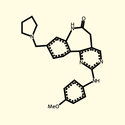 COc1ccc(Nc2ncc3c(n2)-c2ccc(CN4CCCC4)cc2NC(=O)C3)cc1